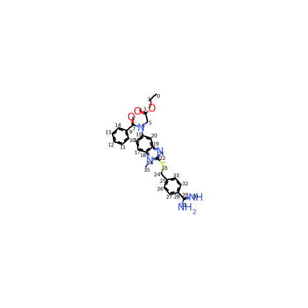 CCOC(=O)CN(C(=O)c1ccccc1)c1ccc2c(c1)nc(SCc1ccc(C(=N)N)cc1)n2C